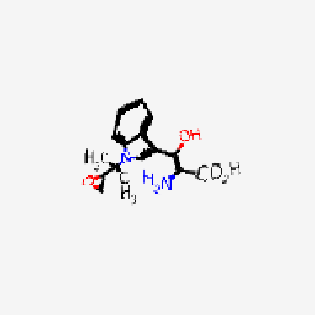 CC(C)(C1CO1)n1cc(C(O)[C@H](N)C(=O)O)c2ccccc21